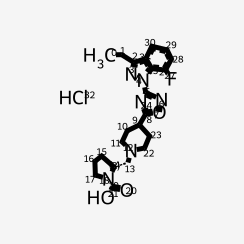 CCc1nn(-c2noc(C3CCN(C[C@H]4CCCN4C(=O)O)CC3)n2)c2c(F)cccc12.Cl